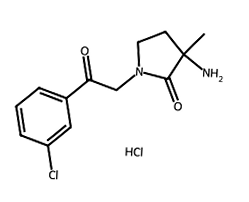 CC1(N)CCN(CC(=O)c2cccc(Cl)c2)C1=O.Cl